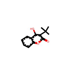 CC(C)(C)c1c(O)c2ccccc2oc1=O